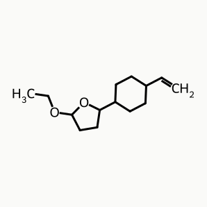 C=CC1CCC(C2CCC(OCC)O2)CC1